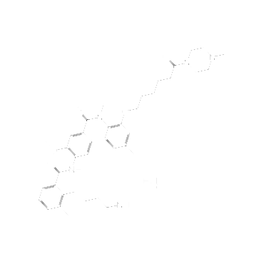 COc1cc(C(=O)N(C)c2ccc(C)cc2OCCCCCC(=O)N2CCN(C)CC2)ccc1NC(=O)c1cccc(C)c1OCCCN.Cl.Cl